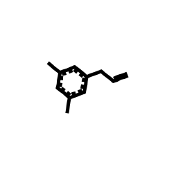 C=CCc1cc(C)cc(C)c1